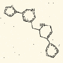 C1=C(c2ccccc2)CC(Cc2cncc(-c3cccs3)c2)NC1